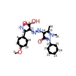 COc1ccc(-c2noc(O)c2N=Nc2c(C)n(C)n(-c3ccccc3)c2=O)cc1